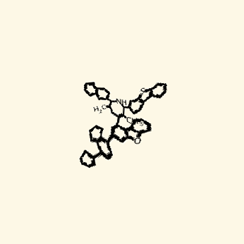 C=C1CC(c2cc(-c3ccc(-c4ccccc4)c4ccccc34)cc3oc4ccccc4c23)=C(C)C(c2ccc3c(c2)sc2ccccc23)NC1c1ccc2ccccc2c1